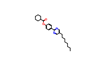 CCCCCCCCc1cnc(-c2ccc(OC(=O)C3CCCCC3)cc2)nc1